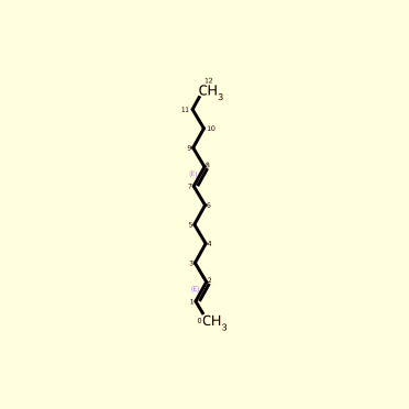 C/C=C/CCCC/C=C/CCCC